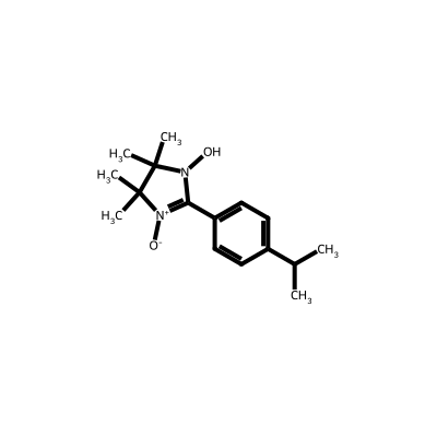 CC(C)c1ccc(C2=[N+]([O-])C(C)(C)C(C)(C)N2O)cc1